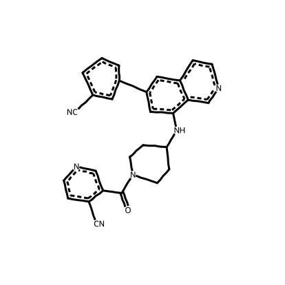 N#Cc1cccc(-c2cc(NC3CCN(C(=O)c4cnccc4C#N)CC3)c3cnccc3c2)c1